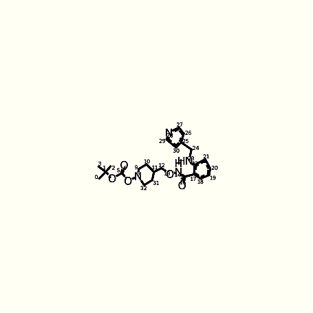 CC(C)(C)OC(=O)ON1CCC(CONC(=O)c2ccccc2NCc2ccncc2)CC1